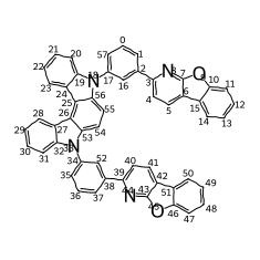 c1cc(-c2ccc3c(n2)oc2ccccc23)cc(-n2c3ccccc3c3c4c5ccccc5n(-c5cccc(-c6ccc7c(n6)oc6ccccc67)c5)c4ccc32)c1